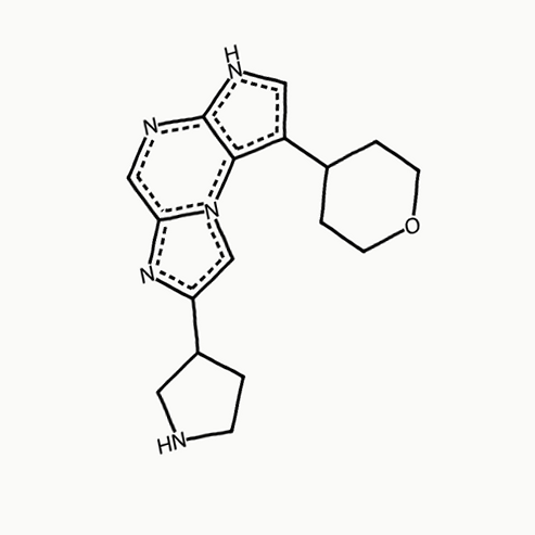 c1[nH]c2ncc3nc(C4CCNC4)cn3c2c1C1CCOCC1